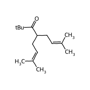 CC(C)=CCC(CC=C(C)C)C(=O)C(C)(C)C